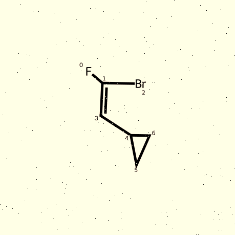 FC(Br)=CC1CC1